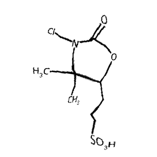 CC1(C)C(CCS(=O)(=O)O)OC(=O)N1Cl